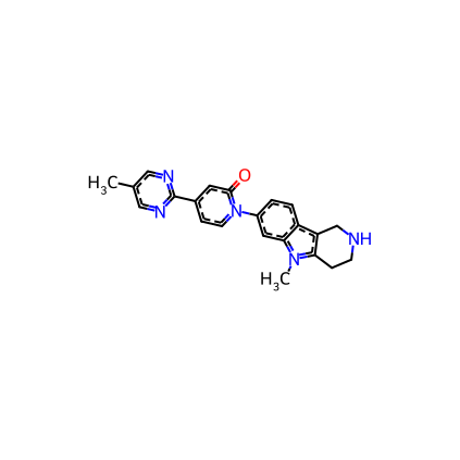 Cc1cnc(-c2ccn(-c3ccc4c5c(n(C)c4c3)CCNC5)c(=O)c2)nc1